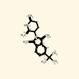 C=C1CCC(n2c(=C)c3ccc(C(C)(C)C)cc3c2=C)C(=C)N1